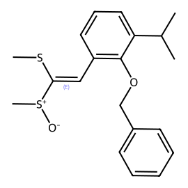 CS/C(=C\c1cccc(C(C)C)c1OCc1ccccc1)[S+](C)[O-]